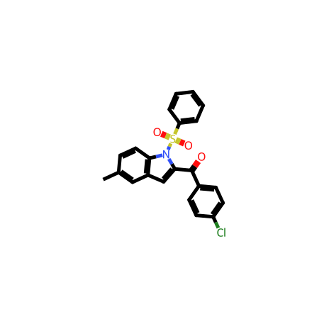 Cc1ccc2c(c1)cc(C(=O)c1ccc(Cl)cc1)n2S(=O)(=O)c1ccccc1